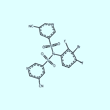 N#Cc1cncc(S(=O)(=O)N(c2ccc(F)c(Br)c2F)S(=O)(=O)c2cncc(C#N)c2)c1